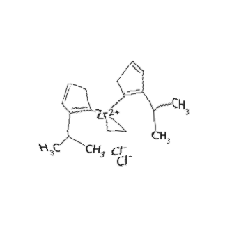 CC(C)C1=[C]([Zr+2]2([C]3=C(C(C)C)C=CC3)[CH2][CH2]2)CC=C1.[Cl-].[Cl-]